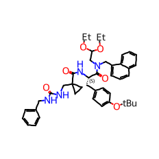 CCOC(CN(Cc1cccc2ccccc12)C(=O)[C@H](Cc1ccc(OC(C)(C)C)cc1)NC(=O)C1(CNC(=O)NCc2ccccc2)CC1)OCC